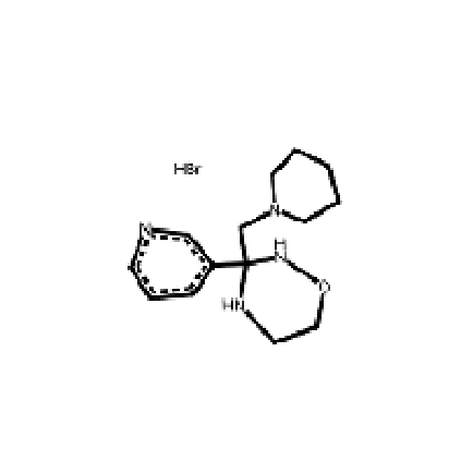 Br.c1cncc(C2(CN3CCCCC3)NCCON2)c1